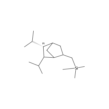 CC(C)C1C2CC(CC2C[Si](C)(C)C)[C@H]1C(C)C